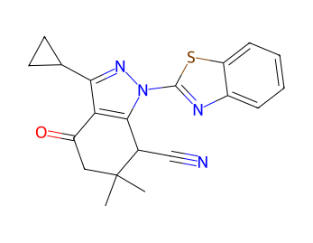 CC1(C)CC(=O)c2c(C3CC3)nn(-c3nc4ccccc4s3)c2C1C#N